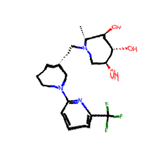 C[C@@H]1[C@@H](O)[C@H](O)[C@@H](O)CN1C[C@H]1CCCN(c2cccc(C(F)(F)F)n2)C1